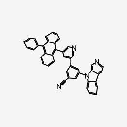 N#Cc1cc(-c2cncc(-c3c4ccccc4c(-c4ccccc4)c4ccccc34)c2)cc(-n2c3ccccc3c3ccncc32)c1